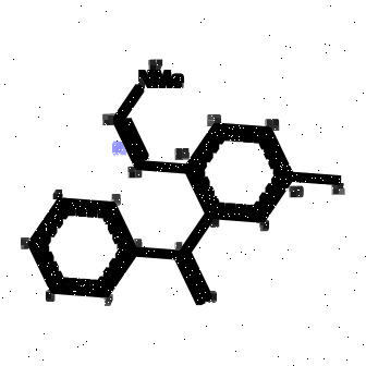 C=C(c1ccccc1)c1cc(C)ccc1/C=C\NC